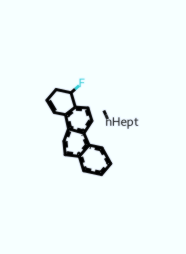 CCCCCCCC.FC1CC=Cc2c1ccc1c2ccc2ccccc21